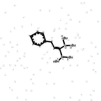 CCCCN(CCCC)C(=CCc1ccccc1)N(CCCC)CCCC